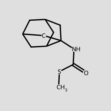 CSC(=O)NC12CC3CC(CC1C3)C2